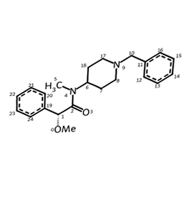 CO[C@@H](C(=O)N(C)C1CCN(Cc2ccccc2)CC1)c1ccccc1